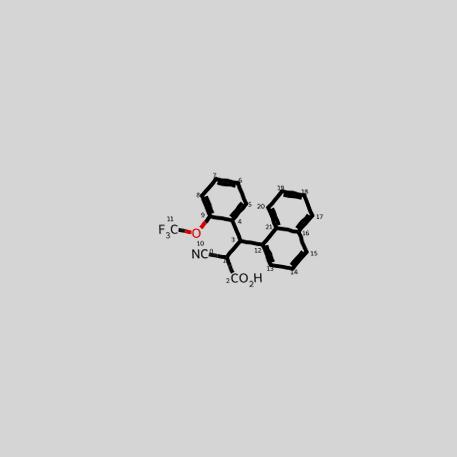 N#CC(C(=O)O)C(c1ccccc1OC(F)(F)F)c1cccc2ccccc12